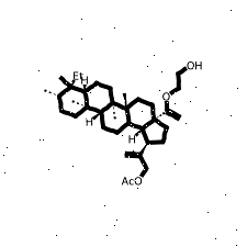 C=C(COC(C)=O)[C@@H]1CC[C@]2(C(=C)OCCO)CC[C@]3(C)C(CC[C@@H]4[C@@]5(C)CC[C@H](C)[C@@](C)(CC)[C@@H]5CC[C@]43C)[C@@H]12